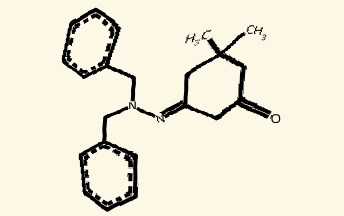 CC1(C)CC(=O)CC(=NN(Cc2ccccc2)Cc2ccccc2)C1